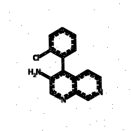 Nc1cnc2cnccc2c1-c1ccccc1Cl